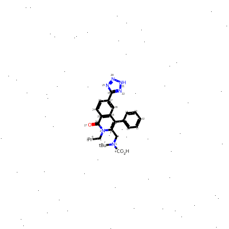 CC(C)Cn1c(CN(C(=O)O)C(C)(C)C)c(-c2ccccc2)c2cc(-c3nn[nH]n3)ccc2c1=O